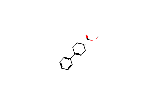 COC(=O)[C@@H]1CC=C(c2ccccc2)CC1